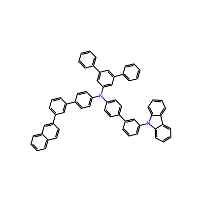 c1ccc(-c2cc(-c3ccccc3)cc(N(c3ccc(-c4cccc(-c5ccc6ccccc6c5)c4)cc3)c3ccc(-c4cccc(-n5c6ccccc6c6ccccc65)c4)cc3)c2)cc1